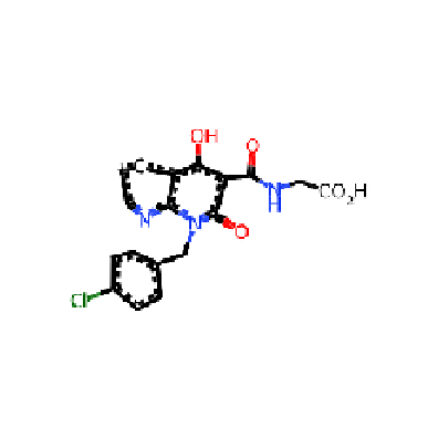 O=C(O)CNC(=O)c1c(O)c2cccnc2n(Cc2ccc(Cl)cc2)c1=O